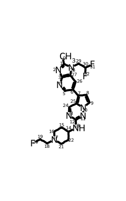 Cc1nc2ncc(-c3ccn4nc(NC5CCN(CCF)CC5)ncc34)cc2n1CC(F)F